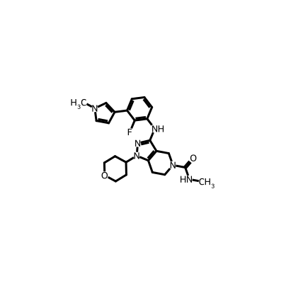 CNC(=O)N1CCc2c(c(Nc3cccc(-c4ccn(C)c4)c3F)nn2C2CCOCC2)C1